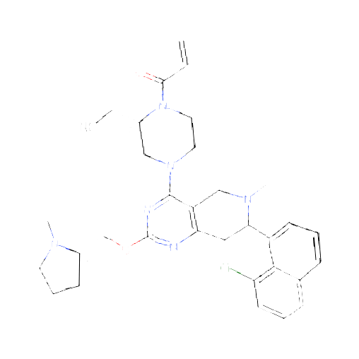 C=CC(=O)N1CCN(c2nc(OC[C@@H]3CCCN3C)nc3c2CN(C)C(c2cccc4cccc(Cl)c24)C3)C[C@@H]1CC#N